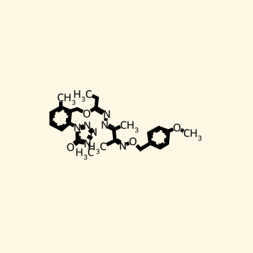 CC/C(=N/N=C(C)/C(C)=N\OCc1ccc(OC)cc1)OCc1c(C)cccc1-n1nnn(C)c1=O